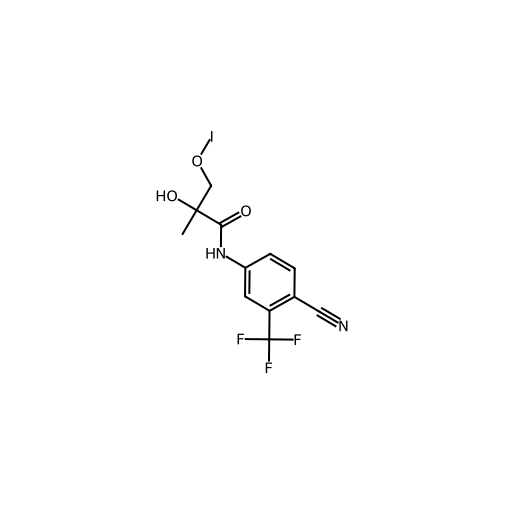 CC(O)(COI)C(=O)Nc1ccc(C#N)c(C(F)(F)F)c1